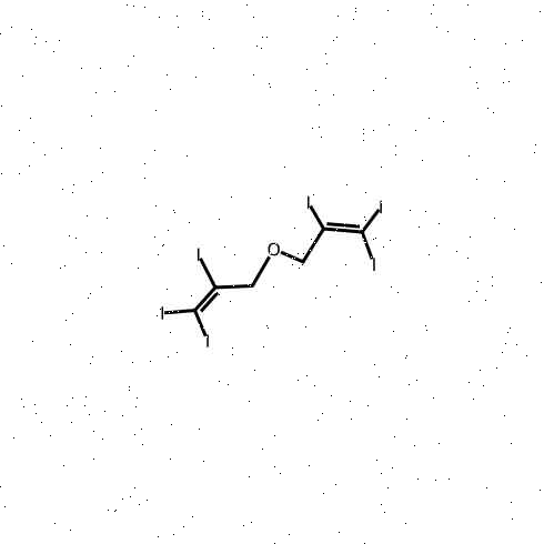 IC(I)=C(I)COCC(I)=C(I)I